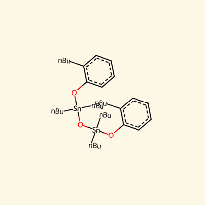 CCCCc1ccccc1[O][Sn]([CH2]CCC)([CH2]CCC)[O][Sn]([CH2]CCC)([CH2]CCC)[O]c1ccccc1CCCC